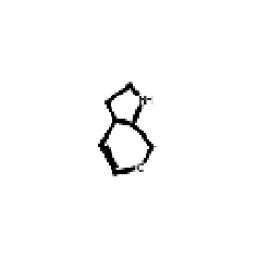 [CH]1OC=CC2CCNC12